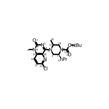 CCC[C@H]1CN(c2nc(=O)n(C)c3ccc(Cl)nc23)C(C)CN1C(=O)OC(C)(C)C